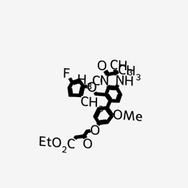 CCOC(=O)CC(=O)COc1ccc(-c2ccc3c(c2COc2cc(F)ccc2C)N(C)C(=O)C(C)(C)N3)c(OC)c1